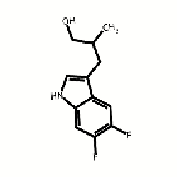 CC(CO)Cc1c[nH]c2cc(F)c(F)cc12